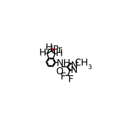 CC(C)[C@H]1[C@@H]2CC[C@H]1c1cccc(NC(=O)c3cn(C)nc3C(F)F)c12